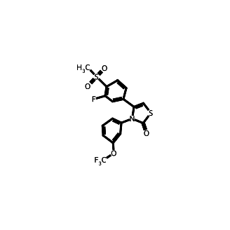 CS(=O)(=O)c1ccc(-c2csc(=O)n2-c2cccc(OC(F)(F)F)c2)cc1F